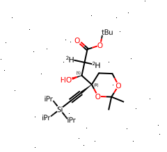 [2H]C([2H])(C(=O)OC(C)(C)C)[C@H](O)[C@]1(C#C[Si](C(C)C)(C(C)C)C(C)C)CCOC(C)(C)O1